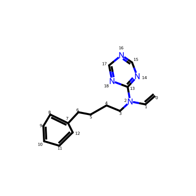 C=CN(CCCCc1ccccc1)c1ncncn1